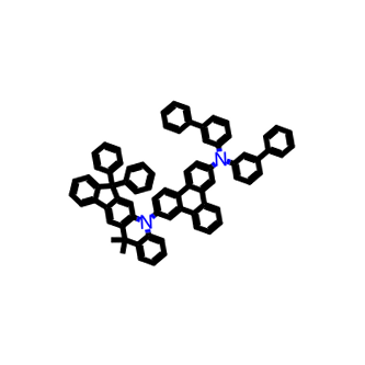 CC1(C)c2ccccc2N(c2ccc3c4ccc(N(c5cccc(-c6ccccc6)c5)c5cccc(-c6ccccc6)c5)cc4c4ccccc4c3c2)c2cc3c(cc21)-c1ccccc1C3(c1ccccc1)c1ccccc1